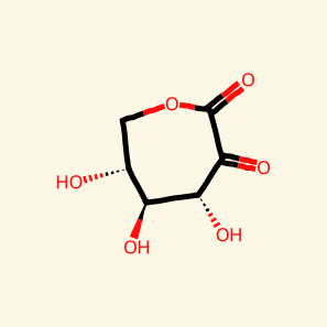 O=C1OC[C@@H](O)[C@H](O)[C@@H](O)C1=O